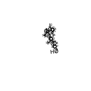 OCc1ccc2c(c1)CCC(c1ccc(OCc3c(-c4c(CI)cccc4CI)noc3C3CC3)cc1CI)O2